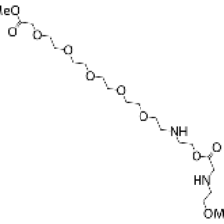 COCCNCC(=O)OCCNCCOCCOCCOCCOCCOCC(=O)OC